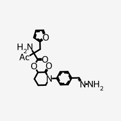 CC(=O)C(N)(Cc1ccco1)C(=O)OC1CCCN(c2ccc(C=NN)cc2)C1=O